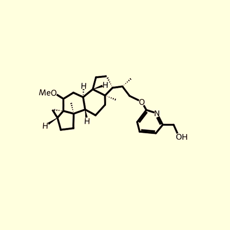 COC1C[C@H]2[C@@H]3CC[C@H]([C@H](C)COc4cccc(CO)n4)[C@@]3(C)CC[C@@H]2[C@@]2(C)CC[C@@H]3C[C@@]132